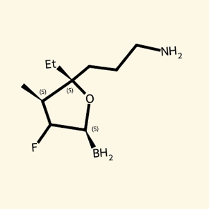 B[C@@H]1O[C@@](CC)(CCCN)[C@H](C)C1F